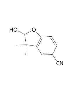 CC1(C)c2cc(C#N)ccc2OC1O